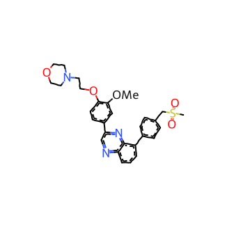 COc1cc(-c2cnc3cccc(-c4ccc(CS(C)(=O)=O)cc4)c3n2)ccc1OCCN1CCOCC1